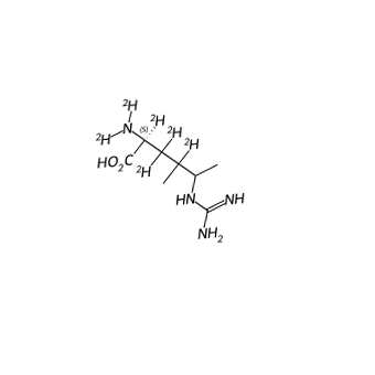 [2H]N([2H])[C@]([2H])(C(=O)O)C([2H])([2H])C([2H])(C)C(C)NC(=N)N